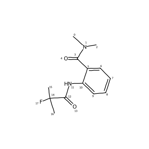 CN(C)C(=O)c1ccccc1NC(=O)C(C)(C)F